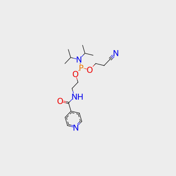 CC(C)N(C(C)C)P(OCCC#N)OCCNC(=O)c1ccncc1